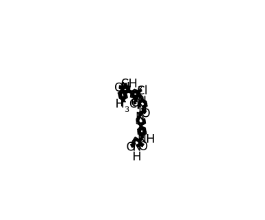 COc1cc(-c2cn(C)c(=O)c3ccc(F)cc23)cc(Cl)c1CN1CCN(C(=O)CN2CCC(c3ccc(NC4CCC(=O)NC4=O)cc3)CC2)CC1